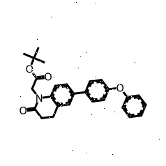 CC(C)(C)OC(=O)CN1C(=O)CCc2cc(-c3ccc(Oc4ccccc4)cc3)ccc21